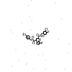 CCC12CCC(CNC(=O)c3cc(C(=O)NCc4ccc(F)c(Cl)c4)nc4c(F)cnn34)(CC1)CC2